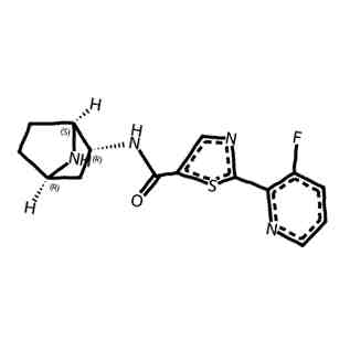 O=C(N[C@@H]1C[C@H]2CC[C@@H]1N2)c1cnc(-c2ncccc2F)s1